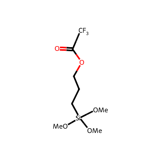 CO[Si](CCCOC(=O)C(F)(F)F)(OC)OC